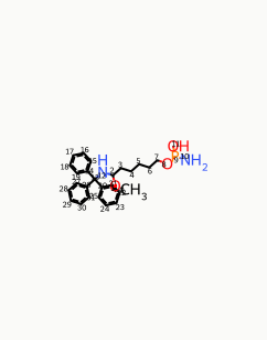 COC(CCCCCOP(N)O)NC(c1ccccc1)(c1ccccc1)c1ccccc1